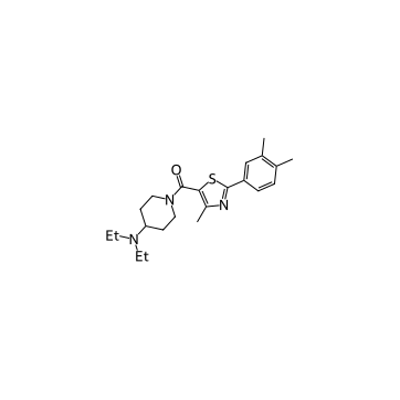 CCN(CC)C1CCN(C(=O)c2sc(-c3ccc(C)c(C)c3)nc2C)CC1